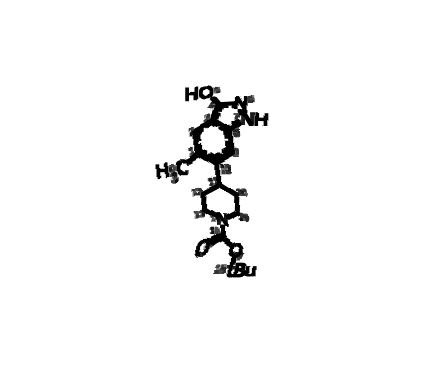 Cc1cc2c(O)n[nH]c2cc1C1CCN(C(=O)OC(C)(C)C)CC1